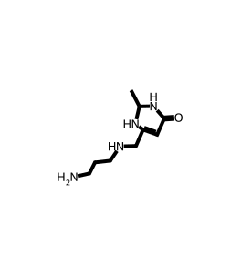 CC1NC(=O)C=C(CNCCCN)N1